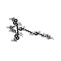 CC1(C)C(=CC=C(/C=C/C2N(CCCS(=O)(=O)O)c3ccc4c(S(=O)(=O)O)cccc4c3C2(C)C)c2ccc(C(=O)NCCCCCC(=O)NCc3ccc(C(=O)NCCC(=O)Nc4nnc(S(N)(=O)=O)s4)cn3)cn2)N(CCCS(=O)(=O)O)c2ccc3c(S(=O)(=O)O)cccc3c21